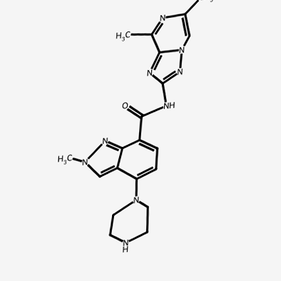 Cc1cn2nc(NC(=O)c3ccc(N4CCNCC4)c4cn(C)nc34)nc2c(C)n1